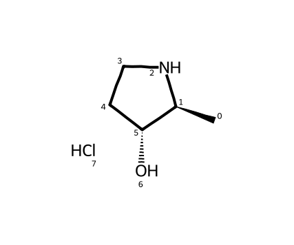 C[C@@H]1NCC[C@H]1O.Cl